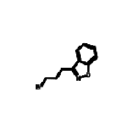 BrCCCc1noc2ccccc12